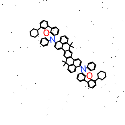 CC1(C)c2cc3c(cc2-c2ccc(N(c4ccccc4)c4cccc5c4oc4c(C6CCCCC6)cccc45)c4cccc1c24)C(C)(C)c1cccc2c(N(c4ccccc4)c4cccc5c4oc4c(C6CCCCC6)cccc45)ccc-3c12